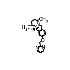 CC1CC[C@H](C)N(Cc2ccc(OCc3ncccn3)cc2)S1(=O)=O